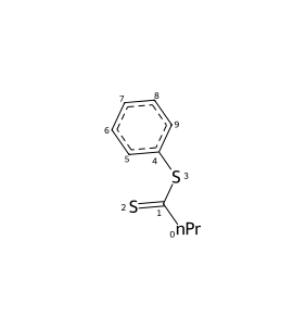 CCCC(=S)Sc1ccccc1